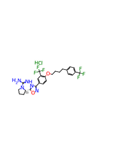 Cl.N=C(N)N1CCC[C@H]1c1nc(-c2ccc(OCCCCc3ccc(C(F)(F)F)cc3)c(C(F)(F)F)c2)no1